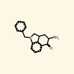 NC1CC2CN(Cc3ccccc3)c3cccc(c32)C1=O